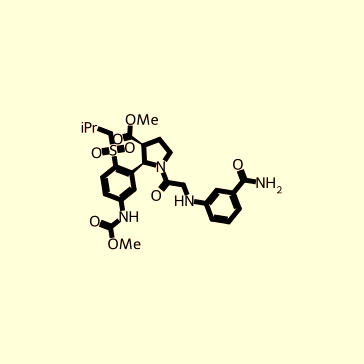 COC(=O)Nc1ccc(S(=O)(=O)CC(C)C)c([C@H]2[C@@H](C(=O)OC)CCN2C(=O)CNc2cccc(C(N)=O)c2)c1